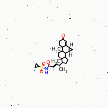 C[C@H](/C=C/C(=O)NS(=O)(=O)C1CC1)C1CCC2C3C(CC[C@@]21C)[C@@]1(C)CCC(=O)C=C1[C@H]1C[C@@H]31